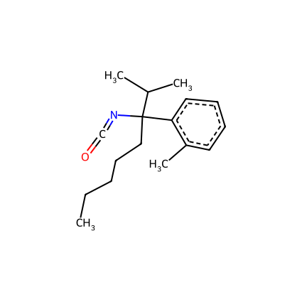 CCCCCC(N=C=O)(c1ccccc1C)C(C)C